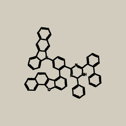 c1ccc(-c2ccccc2C2=NC(c3ccc(-n4c5ccccc5c5cc6ccccc6cc54)cc3-c3cccc4oc5c6ccccc6ccc5c34)=NC(c3ccccc3)N2)cc1